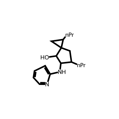 CCCC1CC2(CC2CCC)C(O)C1Nc1ccccn1